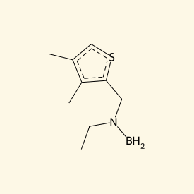 BN(CC)Cc1scc(C)c1C